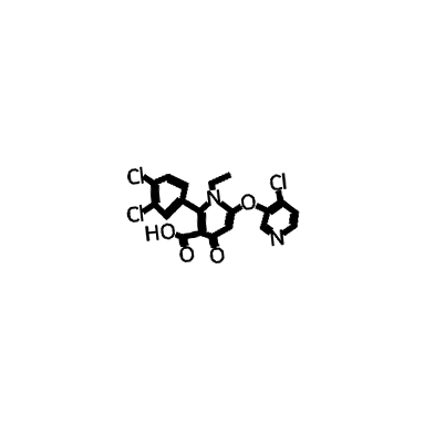 CCn1c(Oc2cnccc2Cl)cc(=O)c(C(=O)O)c1-c1ccc(Cl)c(Cl)c1